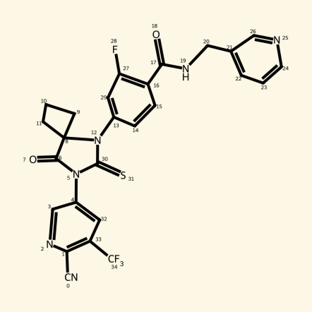 N#Cc1ncc(N2C(=O)C3(CCC3)N(c3ccc(C(=O)NCc4cccnc4)c(F)c3)C2=S)cc1C(F)(F)F